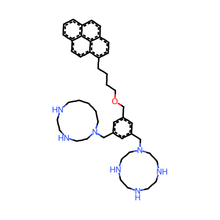 c1cc2ccc3ccc(CCCCOCc4cc(CN5CCCCCNCCNCC5)cc(CN5CCNCCNCCNCC5)c4)c4ccc(c1)c2c34